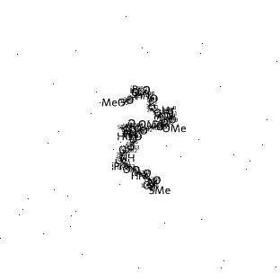 C=C1C[C@H]2CN(C(=O)OCc3ccc(CC(=O)[C@H](C)NC(=O)[C@@H](CC(=O)CCOCCOC)C(C)C)cc3)c3cc(OCCCCCOc4cc5c(cc4OC)C(=O)N4CC(=C)C[C@H]4[C@H](O)N5C(=O)OCc4ccc(CC(=O)[C@H](C)NC(=O)[C@@H](CC(=O)CCOCCNC(=O)CCN5C(=O)CC(SC)C5=O)C(C)C)cc4)c(OC)cc3C(=O)N2C1